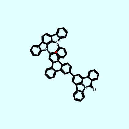 O=c1c2ccccc2c2cc(-c3ccc4c5ccc(-n6c7ccccc7c7ccc8c9ccccc9n(-c9ccccc9)c8c76)cc5c5ccccc5c4c3)cc3c4ccccc4n1c23